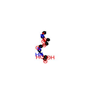 O=C1C=Cc2c([C@@H](O)CNCCC3CCN(C(=O)c4ccc(COc5cccc(C(C(=O)OCC6CCN(Cc7ccccc7)CC6)c6ccccc6)c5)cc4)CC3)ccc(O)c2C1